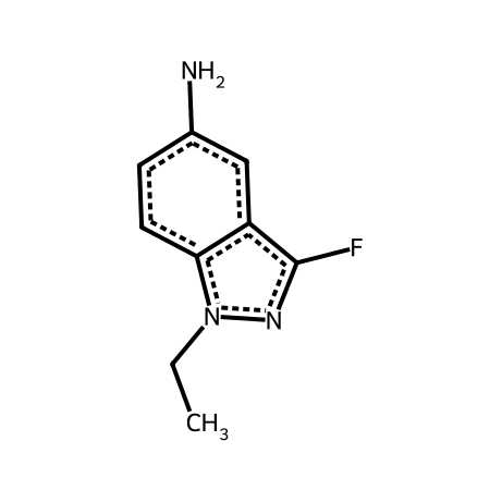 CCn1nc(F)c2cc(N)ccc21